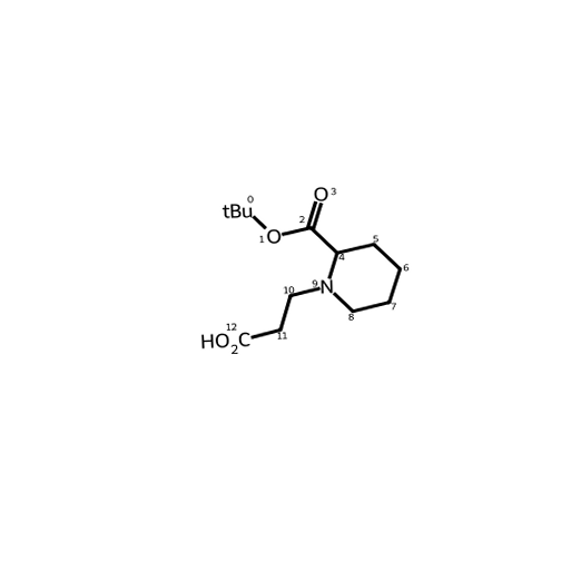 CC(C)(C)OC(=O)C1CCCCN1CCC(=O)O